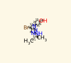 CCC[C@H](C)Nc1ncc2c(Br)cn([C@H]3CC[C@H](O)CC3)c2n1